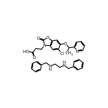 CC(Oc1cc2oc(=O)n(CCC(=O)O)c2cc1Cl)c1ccccn1.c1ccc(CNCCNCc2ccccc2)cc1